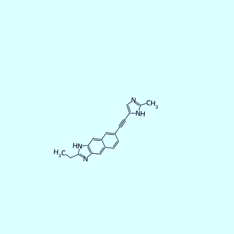 CCc1nc2cc3ccc(C#Cc4cnc(C)[nH]4)cc3cc2[nH]1